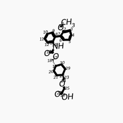 COc1ccccc1-c1ccccc1NC(=O)OC[C@H]1CC[C@H](COCC(=O)O)CC1